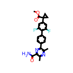 COC(=O)C1(c2cc(F)c(-c3ccc(-c4nc(C(N)=O)c(C)nc4C)cc3)c(F)c2)CC1